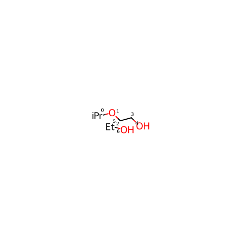 CC(C)OCCO.CCO